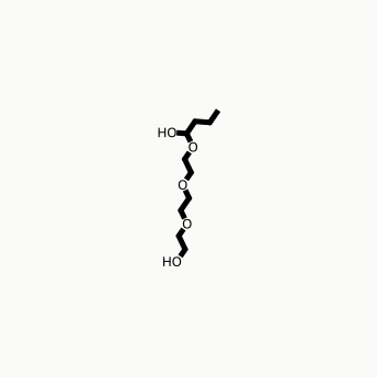 CCCC(O)OCCOCCOCCO